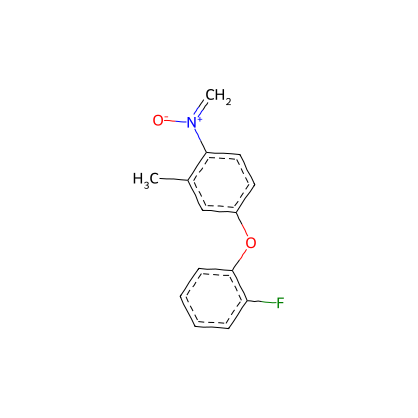 C=[N+]([O-])c1ccc(Oc2ccccc2F)cc1C